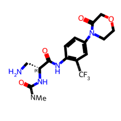 CNC(=O)N[C@H](CN)C(=O)Nc1ccc(N2CCOCC2=O)cc1C(F)(F)F